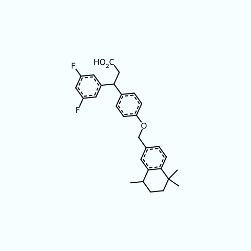 CC1CCC(C)(C)c2ccc(COc3ccc(C(CC(=O)O)c4cc(F)cc(F)c4)cc3)cc21